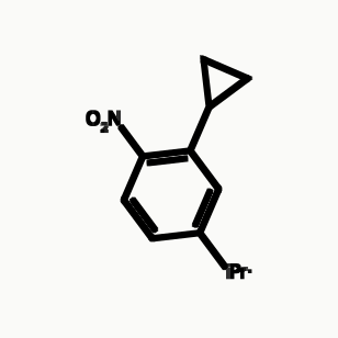 C[C](C)c1ccc([N+](=O)[O-])c(C2CC2)c1